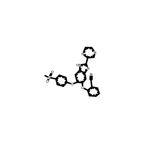 CS(=O)(=O)c1ccc(Oc2cc3[nH]c(-c4cnccn4)nc3cc2Oc2ccccc2C#N)cc1